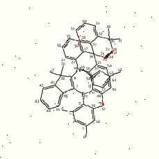 Cc1cc(C)c(B(C2=C(N3c4ccccc4C4(c5ccccc53)c3ccccc3C(C)(C)c3ccccc34)C(C)(C)c3ccccc32)c2c(C)cc(C)cc2C)c(C)c1